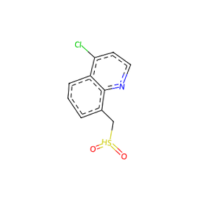 O=[SH](=O)Cc1cccc2c(Cl)ccnc12